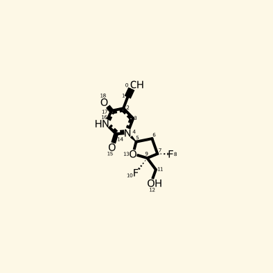 C#Cc1cn([C@H]2C[C@H](F)[C@@](F)(CO)O2)c(=O)[nH]c1=O